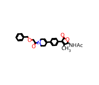 CC(=O)N[C@@H]1OC(=O)C(c2ccc(C3=CCN(C(=O)COCc4ccccc4)CC3)cc2)=C1C